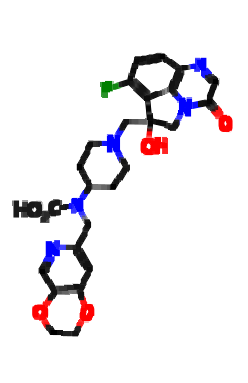 O=C(O)N(Cc1cc2c(cn1)OCCO2)C1CCN(CC2(O)Cn3c(=O)cnc4ccc(F)c2c43)CC1